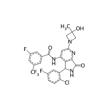 CC1(O)CN(c2cc(NC(=O)c3cc(F)cc(C(F)(F)F)c3)c3c(n2)C(=O)NC3c2cc(F)ccc2Cl)C1